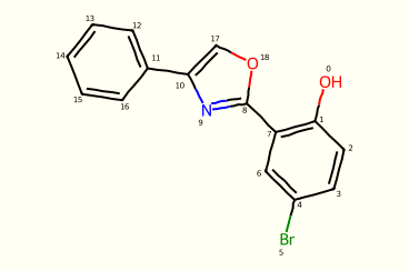 Oc1ccc(Br)cc1-c1nc(-c2ccccc2)co1